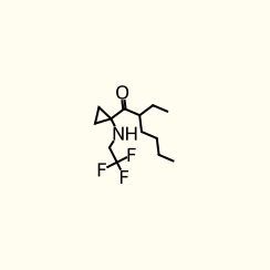 CCCCC(CC)C(=O)C1(NCC(F)(F)F)CC1